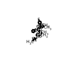 Cc1nc(CN2CCN([C@H](C(=O)N[C@@H](Cc3ccccc3)[C@H](O)CN(CC(C)C)S(=O)(=O)c3ccc(F)cc3)C(C)C)C2=O)cs1